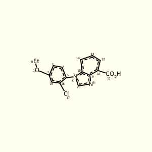 CCOc1ccc(-n2cnc3c(C(=O)O)cccc32)c(Cl)c1